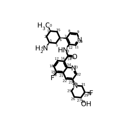 C[C@@H]1C[C@H](N)C[C@H](c2ccncc2NC(=O)c2ccc(F)c3cc(N4CC[C@@H](O)[C@H](F)C4)cnc23)C1